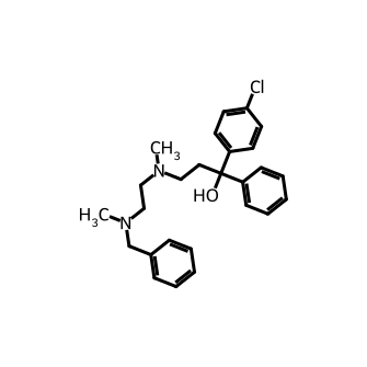 CN(CCN(C)Cc1ccccc1)CCC(O)(c1ccccc1)c1ccc(Cl)cc1